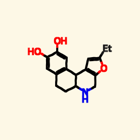 CCc1cc2c(o1)CNC1CCc3cc(O)c(O)cc3C21